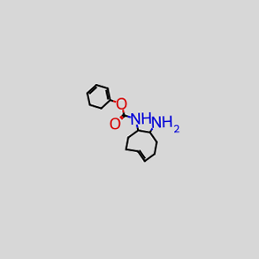 NC1CC/C=C/CCC1NC(=O)OC1=CC=CCC1